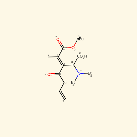 C=CCC(=O)C(=C(C)C(=O)OCCCC)C(C(=O)O)N(CC)CC